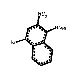 CNc1c([N+](=O)[O-])cc(Br)c2ccccc12